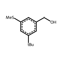 CSc1cc([CH]O)cc(C(C)(C)C)c1